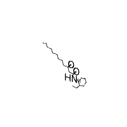 CCCCCCCCCC(=O)CC(=O)N[C@H]1CCCCC1CC